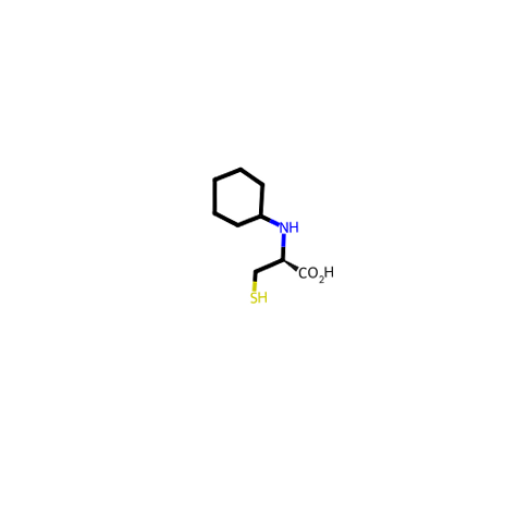 O=C(O)[C@@H](CS)NC1CCCCC1